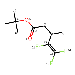 CC(CC(=O)OC(C)(C)C)C(F)=C(F)F